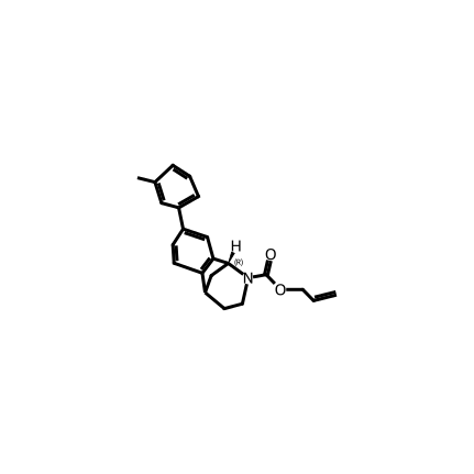 C=CCOC(=O)N1CCC2C[C@@H]1c1cc(-c3cccc(C)c3)ccc12